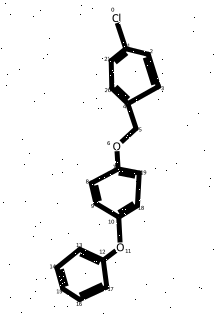 Clc1ccc(COc2ccc(Oc3ccccc3)cc2)cc1